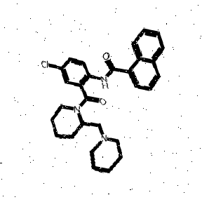 O=C(Nc1ccc(Cl)cc1C(=O)N1CCCCC1CN1CCCCC1)c1cccc2ccccc12